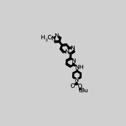 Cn1cc(-c2ccn3c(-c4cccc(NC5CCN(C(=O)OC(C)(C)C)CC5)n4)cnc3c2)cn1